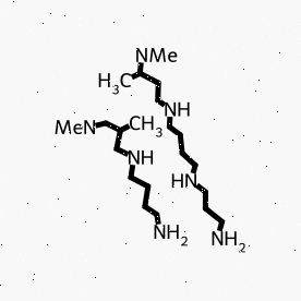 CNC(C)CCNCCCCNCCCN.CNCC(C)CNCCCCN